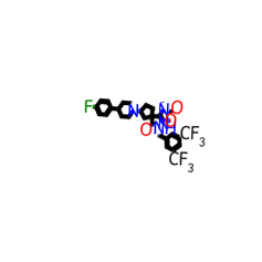 Cn1c(C2(C(=O)NCc3cc(C(F)(F)F)cc(C(F)(F)F)c3)CCC(N3CCC(c4ccc(F)cc4)CC3)C2)noc1=O